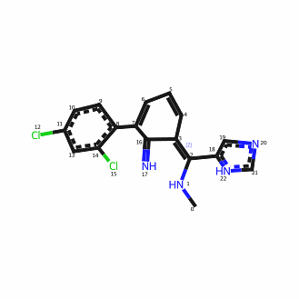 CN/C(=C1/C=CC=C(c2ccc(Cl)cc2Cl)C1=N)c1cnc[nH]1